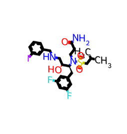 CC(C)CS(=O)(=O)N(CCC(N)=O)[C@@H](Cc1cc(F)cc(F)c1)[C@H](O)CNCc1cccc(I)c1